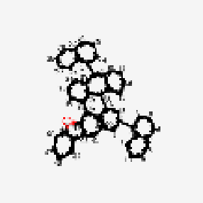 c1cc(-c2cccc3ccccc23)cc(-c2c3ccccc3c(-c3cccc4ccccc34)c3cccc(-c4cccc5c4oc4ccccc45)c23)c1